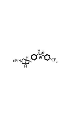 CCCN1C[C@@H]2C[C@@H](c3ccc(NS(=O)(=O)c4ccc(C(F)(F)F)cc4)cc3)[C@@H]2C1